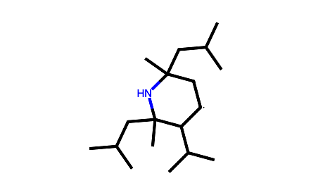 CC(C)CC1(C)C[CH]C(C(C)C)C(C)(CC(C)C)N1